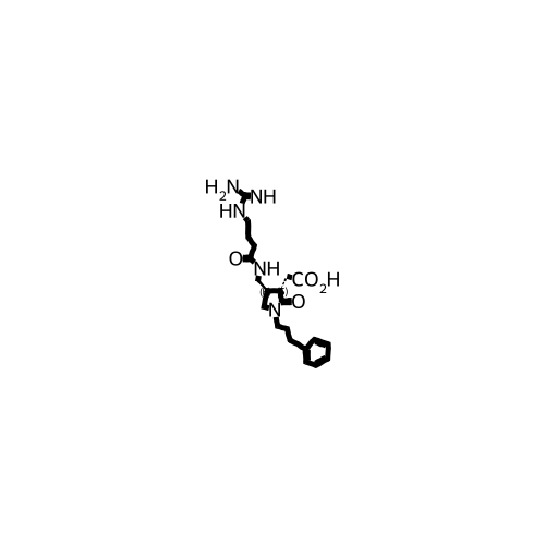 N=C(N)NCCCC(=O)NC[C@@H]1CN(CCCc2ccccc2)C(=O)[C@H]1CC(=O)O